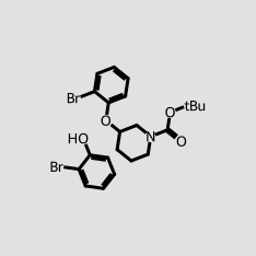 CC(C)(C)OC(=O)N1CCCC(Oc2ccccc2Br)C1.Oc1ccccc1Br